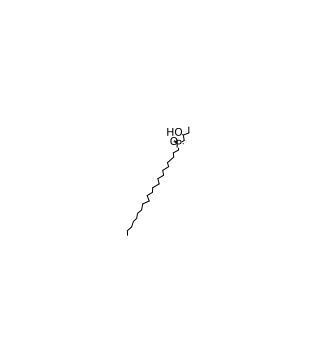 CCCCCCCCCCCCCCCCCCCCC[P](=O)CC(O)CC